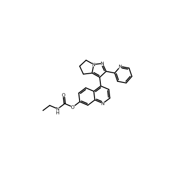 CCNC(=O)Oc1ccc2c(-c3c(-c4ccccn4)nn4c3CCC4)ccnc2c1